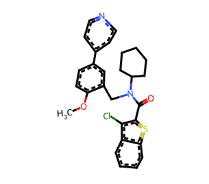 COc1ccc(-c2ccncc2)cc1CN(C(=O)c1sc2ccccc2c1Cl)C1CCCCC1